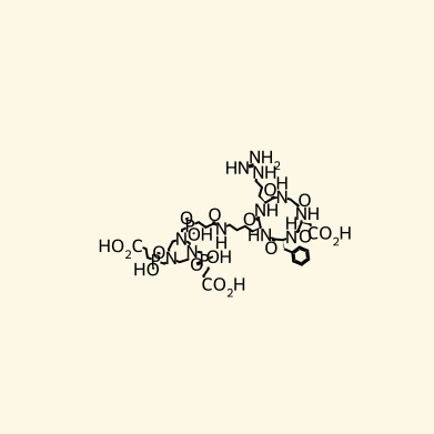 N=C(N)NCCC[C@@H]1NC(=O)[C@H](CCCCNC(=O)CCP(=O)(O)CN2CCN(CP(=O)(O)CCC(=O)O)CCN(CP(=O)(O)CCC(=O)O)C2)NC(=O)[C@@H](Cc2ccccc2)NC(=O)[C@H](CC(=O)O)NC(=O)CNC1=O